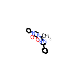 C[C@@H](c1ncc(-c2ccccc2)cn1)N1CCN(C2CCCC2)C(=O)C1=O